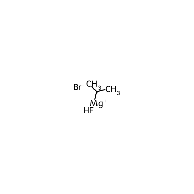 C[CH](C)[Mg+].F.[Br-]